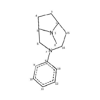 CN1C2CCC1CN(c1ccccc1)CC2